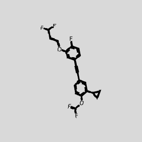 Fc1ccc(C#Cc2ccc(OC(F)F)c(C3CC3)c2)cc1OCCC(F)F